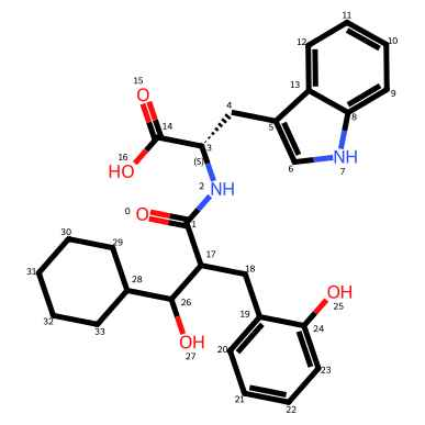 O=C(N[C@@H](Cc1c[nH]c2ccccc12)C(=O)O)C(Cc1ccccc1O)C(O)C1CCCCC1